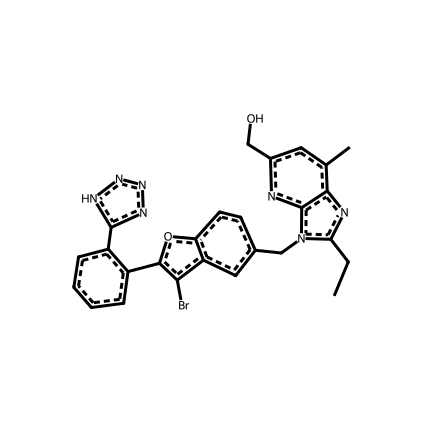 CCc1nc2c(C)cc(CO)nc2n1Cc1ccc2oc(-c3ccccc3-c3nnn[nH]3)c(Br)c2c1